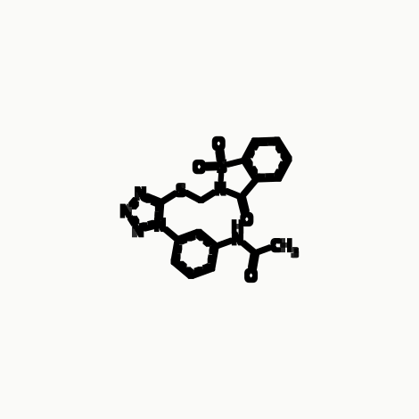 CC(=O)Nc1cccc(-n2nnnc2SCN2C(=O)c3ccccc3S2(=O)=O)c1